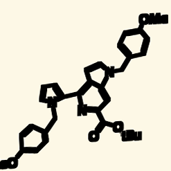 COc1ccc(Cn2cccc2-c2nc(C(=O)OC(C)(C)C)cc3c2ccn3Cc2ccc(OC)cc2)cc1